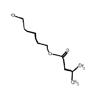 CC(C)CC(=O)OCCCCC[O]